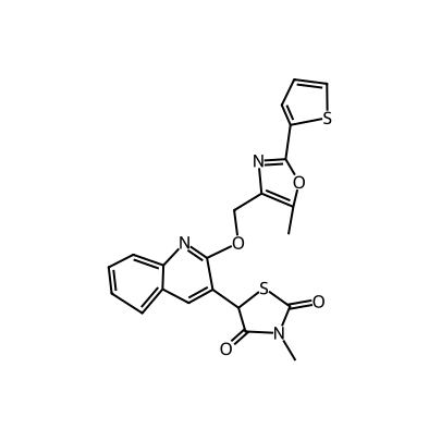 Cc1oc(-c2cccs2)nc1COc1nc2ccccc2cc1C1SC(=O)N(C)C1=O